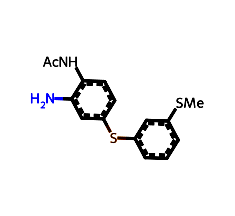 CSc1cccc(Sc2ccc(NC(C)=O)c(N)c2)c1